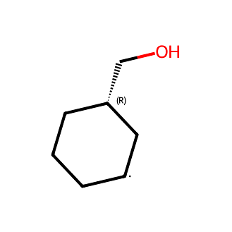 OC[C@@H]1C[CH]CCC1